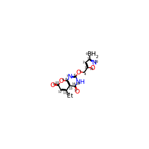 Bc1cc(COc2nc3oc(=O)cc(CC)c3c(=O)[nH]2)on1